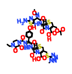 CCN1CCN(C(=O)N[C@@H](C(=O)N[C@@H]2C(=O)N3C(C(=O)O)=C(CSc4nnnn4C)CS[C@H]23)c2ccc(O)cc2)C(=O)C1=O.CO/N=C(/C(=O)N[C@@H]1C(=O)N2C(C(=O)O)=C(COC(C)=O)CS[C@H]12)c1csc(N)n1